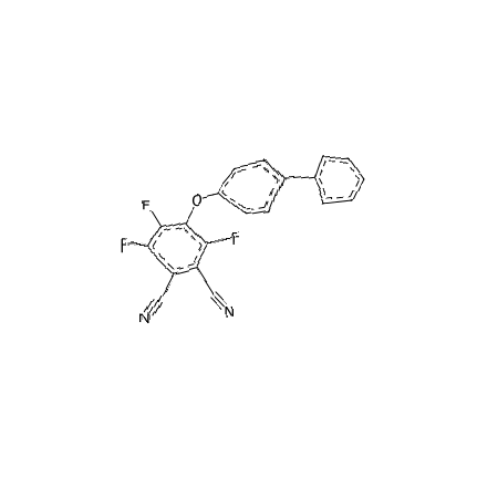 N#Cc1c(F)c(F)c(Oc2ccc(-c3ccccc3)cc2)c(F)c1C#N